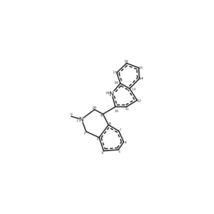 CN1Cc2ccccc2C(c2ccc3ccccc3n2)C1